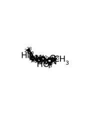 Cc1nc2c(F)c(O)c(-c3ccc4nc(N5CC[C@@H](NCC6CC6)C5)ccc4n3)cc2o1